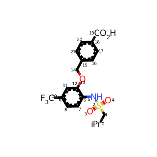 CC(C)CS(=O)(=O)Nc1ccc(C(F)(F)F)cc1OCc1ccc(C(=O)O)cc1